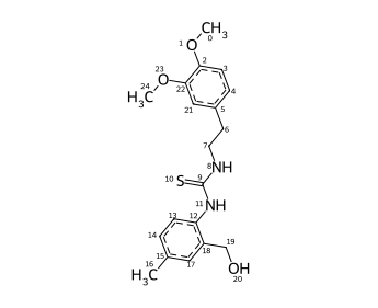 COc1ccc(CCNC(=S)Nc2ccc(C)cc2CO)cc1OC